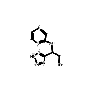 CC(C)CC(Nc1cnccn1)c1nn[nH]n1